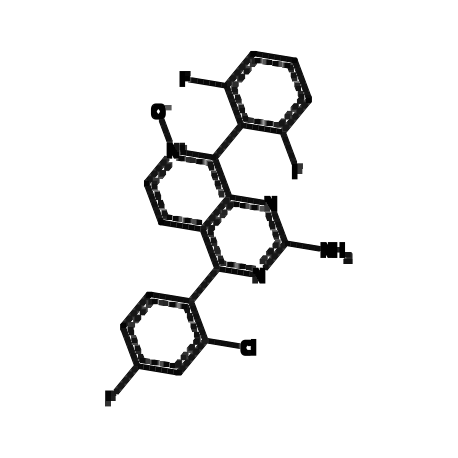 Nc1nc(-c2ccc(F)cc2Cl)c2cc[n+]([O-])c(-c3c(F)cccc3F)c2n1